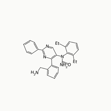 CCc1cccc(CC)c1N(C(N)=O)c1cnc(-c2ccccc2)nc1-c1ccccc1CN